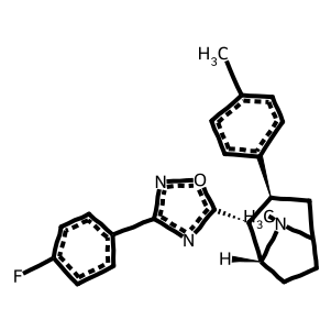 Cc1ccc([C@H]2CC3CC[C@H]([C@@H]2c2nc(-c4ccc(F)cc4)no2)N3C)cc1